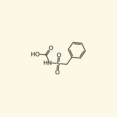 O=C(O)NS(=O)(=O)Cc1ccccc1